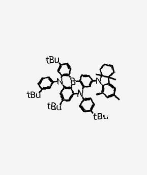 Cc1cc(C)c2c(c1)C1(C)CCCCC1(C)N2c1ccc2c(c1)N(c1ccc(C(C)(C)C)cc1)c1cc(C(C)(C)C)cc3c1B2c1ccc(C(C)(C)C)cc1N3c1cccc(C(C)(C)C)c1